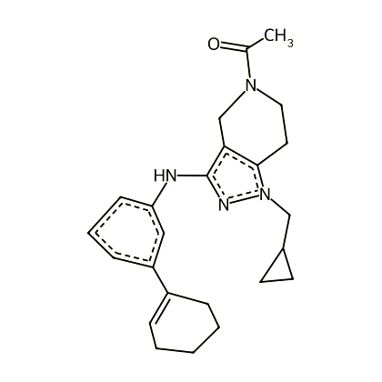 CC(=O)N1CCc2c(c(Nc3cccc(C4=CCCCC4)c3)nn2CC2CC2)C1